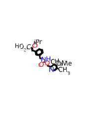 COc1c(C)cnc(COC(=O)NCc2cccc(CC(OC(C)C)C(=O)O)c2)c1C